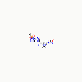 CCC(C)n1cc(C(=O)NC2CCOC2)c2cnc(Nc3ccnc(/C(C=N)=C/NS(=O)(=O)C4CC4)n3)cc21